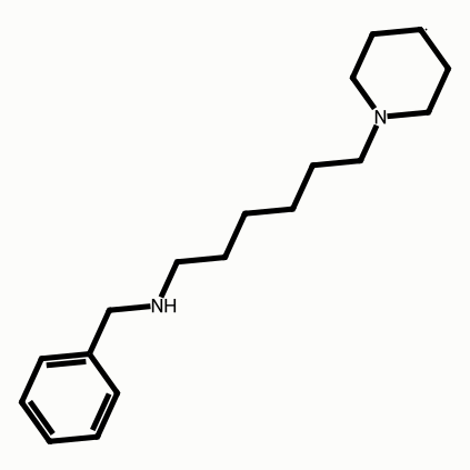 [CH]1CCN(CCCCCCNCc2ccccc2)CC1